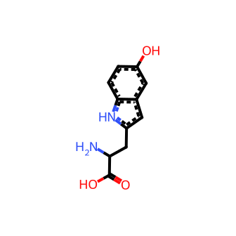 NC(Cc1cc2cc(O)ccc2[nH]1)C(=O)O